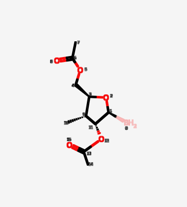 B[C@@H]1O[C@H](COC(C)=O)[C@@H](C)[C@H]1OC(C)=O